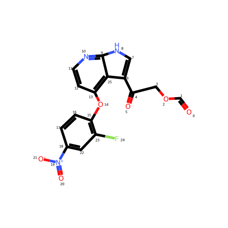 O=COCC(=O)c1c[nH]c2nccc(Oc3ccc([N+](=O)[O-])cc3F)c12